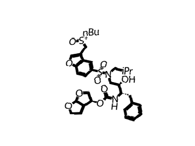 CCCC[S+]([O-])Cc1coc2ccc(S(=O)(=O)N(CC(C)C)C[C@@H](O)[C@H](Cc3ccccc3)NC(=O)O[C@@H]3COC4OCCC43)cc12